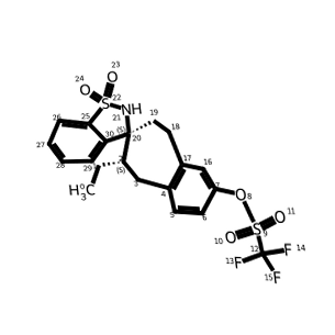 CC[C@H]1Cc2ccc(OS(=O)(=O)C(F)(F)F)cc2CC[C@]12NS(=O)(=O)c1ccccc12